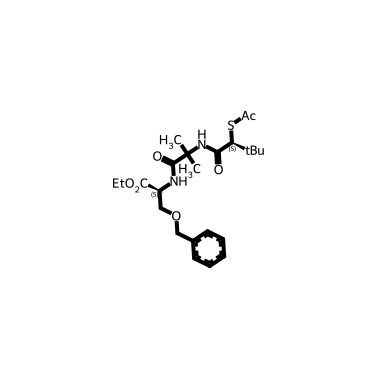 CCOC(=O)[C@H](COCc1ccccc1)NC(=O)C(C)(C)NC(=O)[C@@H](SC(C)=O)C(C)(C)C